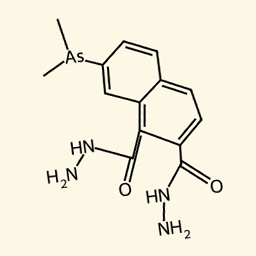 C[As](C)c1ccc2ccc(C(=O)NN)c(C(=O)NN)c2c1